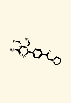 CC(C)C[C@@H](C(N)=O)N(CC#N)C(c1ccc(C(=O)CN2CCCC2)cc1)C(F)(F)F